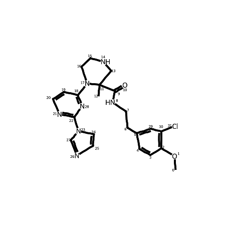 COc1ccc(CCNC(=O)C2(C)CNCCN2c2ccnc(-n3ccnc3)n2)cc1Cl